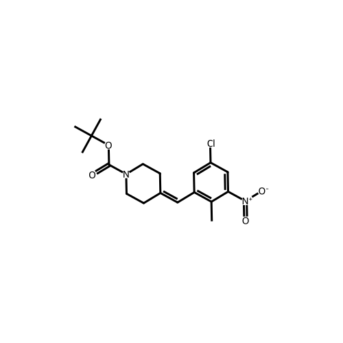 Cc1c(C=C2CCN(C(=O)OC(C)(C)C)CC2)cc(Cl)cc1[N+](=O)[O-]